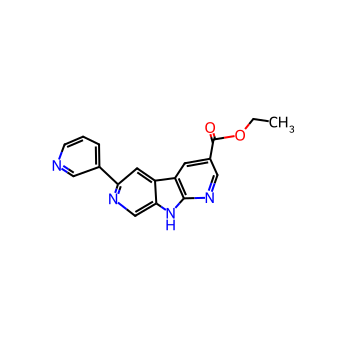 CCOC(=O)c1cnc2[nH]c3cnc(-c4cccnc4)cc3c2c1